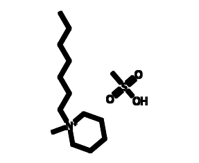 CCCCCCC[N+]1(C)CCCCC1.CS(=O)(=O)O